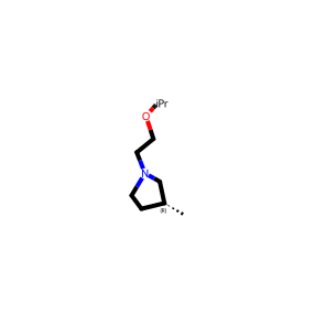 CC(C)OCCN1CC[C@@H](C)C1